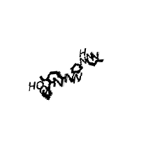 Cc1ccc(Nc2ccc3c(c2)ncn3-c2ccc(C(C)O)c(-c3ccco3)n2)nn1